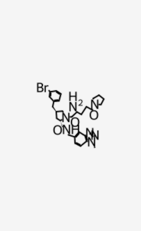 Cn1nnc2cc(CNC(=O)[C@@H]3C[C@@H](Cc4cccc(Br)c4)CN3C(=O)[C@H](N)CCC(=O)N3CCCC3)ccc21